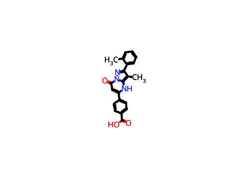 Cc1ccccc1-c1nn2c(=O)cc(-c3ccc(C(=O)O)cc3)[nH]c2c1C